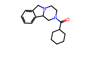 O=C(C1CCCCC1)N1CCN2Cc3ccccc3C2C1